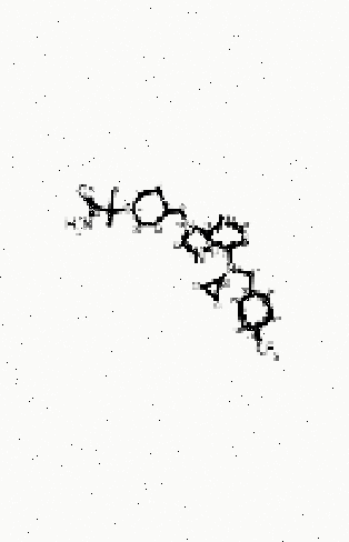 CC(C)(C(N)=O)N1CCC(Cn2cnc3c(N(Cc4ccc(C(F)(F)F)cc4)C4CC4)ncnc32)CC1